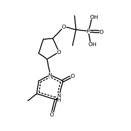 Cc1cn(C2CCC(OC(C)(C)P(=O)(O)O)O2)c(=O)[nH]c1=O